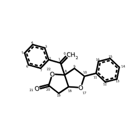 C=C(c1ccccc1)C12CC(c3ccccc3)OC1CC(=O)O2